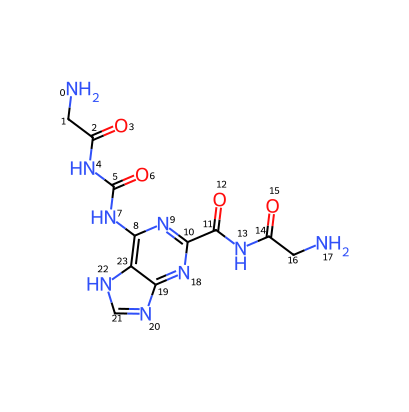 NCC(=O)NC(=O)Nc1nc(C(=O)NC(=O)CN)nc2nc[nH]c12